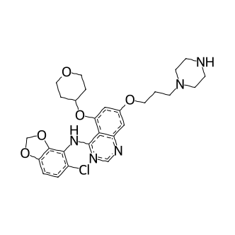 Clc1ccc2c(c1Nc1ncnc3cc(OCCCN4CCNCC4)cc(OC4CCOCC4)c13)OCO2